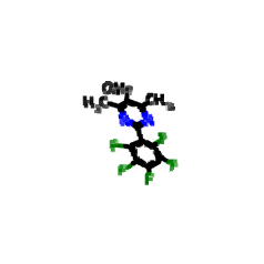 COc1c(C)nc(-c2c(F)c(F)c(F)c(F)c2F)nc1C